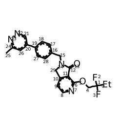 CCC(F)(F)COc1nccc2c1C(=O)N(Cc1ccc(-c3cnnc(C)c3)cc1)C2